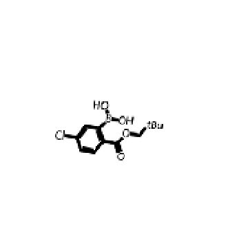 CC(C)(C)COC(=O)c1ccc(Cl)cc1B(O)O